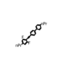 CCCc1ccc(-c2ccc(C#Cc3c(F)cc(CCC)cc3F)cc2)cc1